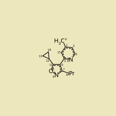 Cc1ccnc(-c2c(C(C)C)noc2C2CC2)c1